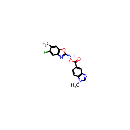 Cn1cnc2cc(C(=O)ONc3nc4cc(F)c(C(F)(F)F)cc4o3)ccc21